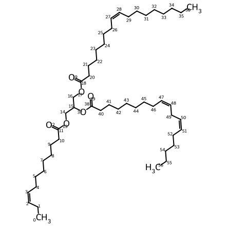 CC/C=C\CCCCCCCC(=O)OCC(COC(=O)CCCCCCC/C=C\CCCCCCCC)OC(=O)CCCCCCC/C=C\C/C=C\CCCCC